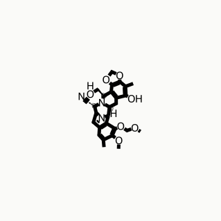 COCOc1c(OC)c(C)cc2c1C1[C@@H]3Cc4c(O)c(C)c5c(c4[C@H](CO)N3[C@@H](C#N)C(C2)N1C)OCO5